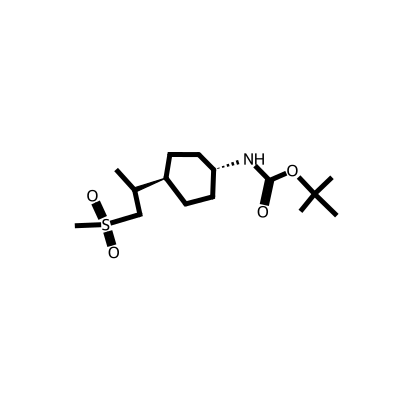 CC(CS(C)(=O)=O)[C@H]1CC[C@H](NC(=O)OC(C)(C)C)CC1